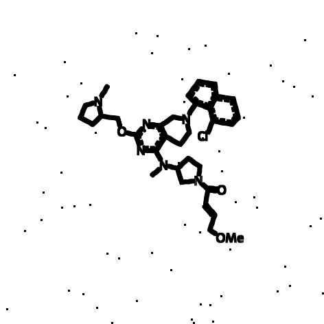 COC/C=C/C(=O)N1CCC(N(C)c2nc(OCC3CCCN3C)nc3c2CCN(c2cccc4cccc(Cl)c24)C3)C1